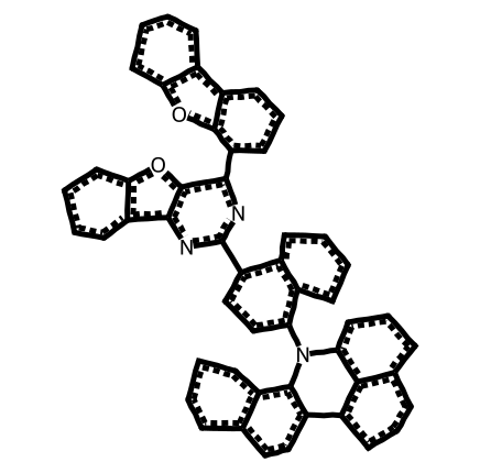 c1ccc2c3c(ccc2c1)-c1cccc2cccc(c12)N3c1ccc(-c2nc(-c3cccc4c3oc3ccccc34)c3oc4ccccc4c3n2)c2ccccc12